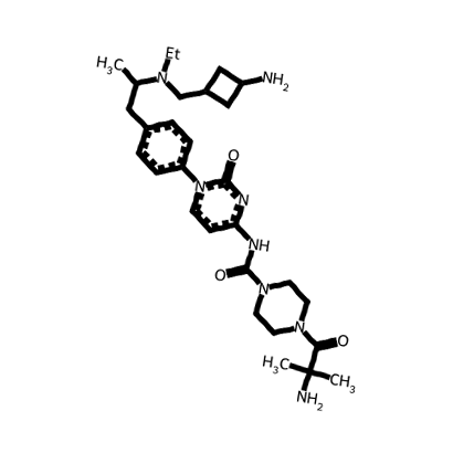 CCN(CC1CC(N)C1)C(C)Cc1ccc(-n2ccc(NC(=O)N3CCN(C(=O)C(C)(C)N)CC3)nc2=O)cc1